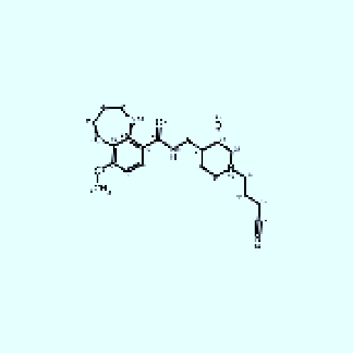 COc1ccc(C(=O)NC[C@@H]2CCN(CCCC#N)C[C@H]2O)c2c1OCCCO2